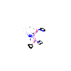 CCC(C)C(NC(=O)[C@@H](Cc1c[nH]cn1)NC(=O)[C@@H](Cc1cccc2ccccc12)NC(=O)OCc1ccccc1)O/[P+]([O-])=C/C(=O)NCc1ccccc1